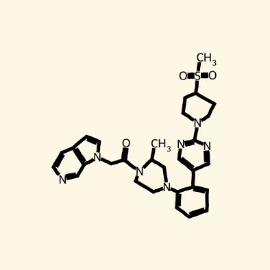 CC1CN(c2ccccc2-c2cnc(N3CCC(S(C)(=O)=O)CC3)nc2)CCN1C(=O)Cn1ccc2ccncc21